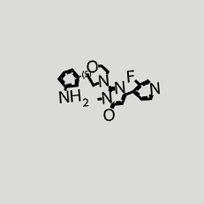 Cn1c(N2CCO[C@@H](c3cccc(N)c3)C2)nc(-c2ccncc2F)cc1=O